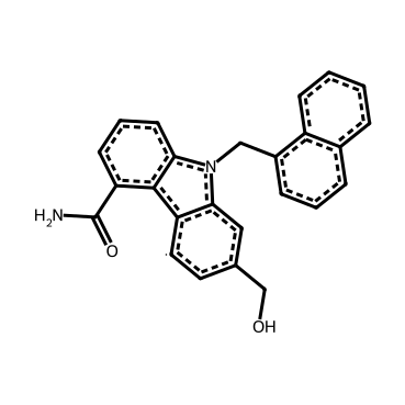 NC(=O)c1cccc2c1c1[c]cc(CO)cc1n2Cc1cccc2ccccc12